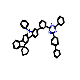 c1ccc(-c2ccc(-c3nc(-c4ccccc4)nc(-c4cccc(-c5ccc6c7cc8c(cc7n(-c7ccccc7)c6c5)-c5ccccc5C85CCCCC5)c4)n3)cc2)cc1